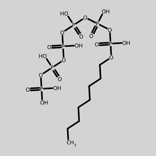 CCCCCCCCOP(=O)(O)OP(=O)(O)OP(=O)(O)OP(=O)(O)OP(=O)(O)OP(=O)(O)O